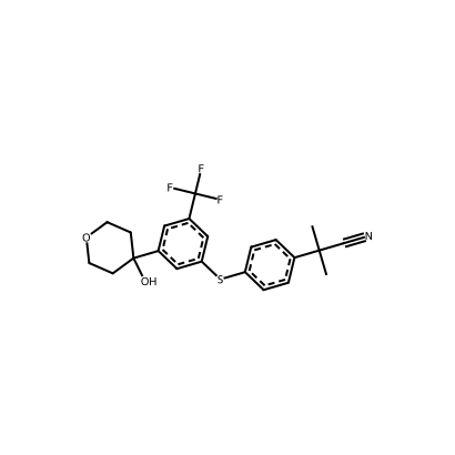 CC(C)(C#N)c1ccc(Sc2cc(C(F)(F)F)cc(C3(O)CCOCC3)c2)cc1